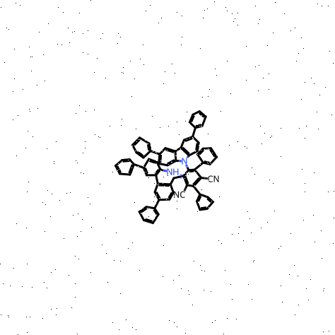 N#Cc1c(Cc2ccc(-c3ccccc3)cc2-c2cc(-c3ccccc3)ccc2N)c(-n2c3ccc(-c4ccccc4)cc3c3cc(-c4ccccc4)ccc32)c(-c2ccccc2)c(C#N)c1-c1ccccc1